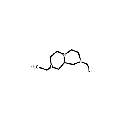 CCN1CCN2CCN(CC)CC2C1